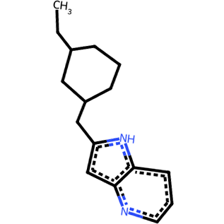 CCC1CCCC(Cc2cc3ncccc3[nH]2)C1